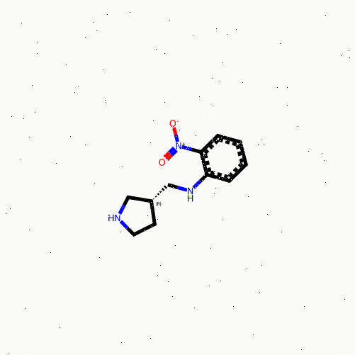 O=[N+]([O-])c1ccccc1NC[C@@H]1CCNC1